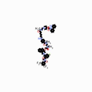 CN(CCN1CCC(OC(=O)Nc2ccccc2-c2ccccc2)CC1)C(=O)CCCCCNc1ccc(C(=O)N(C)CCN(C)C(=O)CO[C@H]2Cc3ccccc3C23CCN(CC[C@]2(c4ccc(F)cc4)CN(C(=O)c4cc(C(F)(F)F)cc(C(F)(F)F)c4)CO2)CC3)cc1